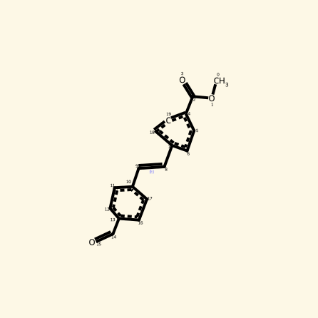 COC(=O)c1ccc(/C=C/c2ccc(C=O)cc2)cc1